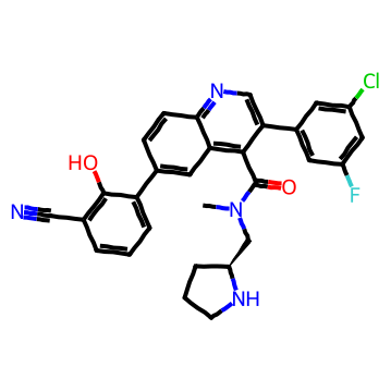 CN(C[C@@H]1CCCN1)C(=O)c1c(-c2cc(F)cc(Cl)c2)cnc2ccc(-c3cccc(C#N)c3O)cc12